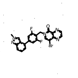 Cn1cc2c(-c3cc(F)c(Cn4cc(Br)c5nccnc5c4=O)c(F)c3)cccc2n1